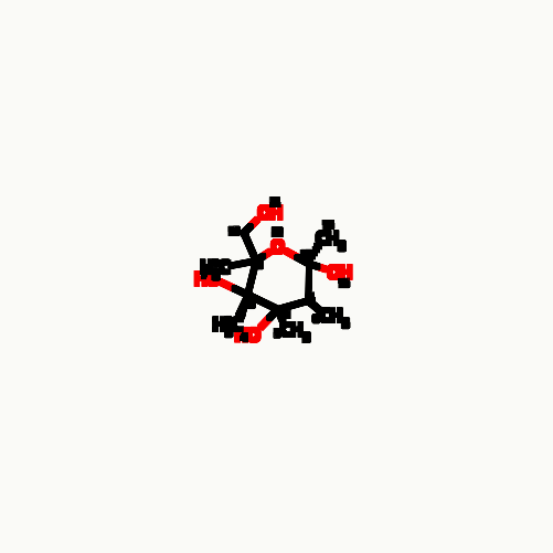 CC1C(C)(O)[C@](C)(O)C(C)(CO)O[C@@]1(C)O